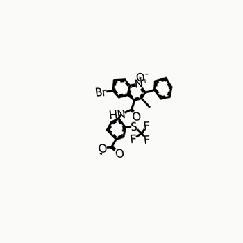 COC(=O)c1ccc(NC(=O)c2c(C)c(-c3ccccc3)[n+]([O-])c3ccc(Br)cc23)c(SC(F)(F)F)c1